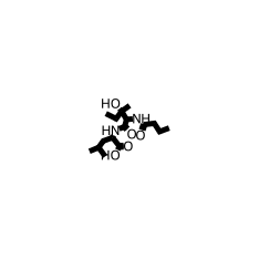 CCCC(=O)NC(C(=O)NC(CC(C)C)C(=O)O)C(C)(O)CC